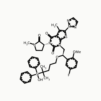 COc1ccc(F)cc1[C@H](Cn1c(=O)n([C@@H]2CCN(C)C2=O)c(=O)c2c(C)c(-n3nccn3)sc21)OCCCC(C)(C)[Si](O)(c1ccccc1)c1ccccc1